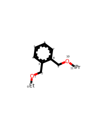 CCOCc1ccccc1COC(C)C